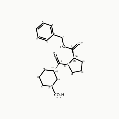 O=C(OCc1ccccc1)[C@H]1CCCN1C(=O)[C@H]1CCCN(C(=O)O)C1